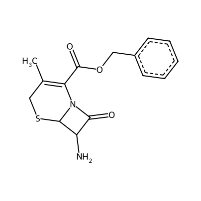 CC1=C(C(=O)OCc2ccccc2)N2C(=O)C(N)C2SC1